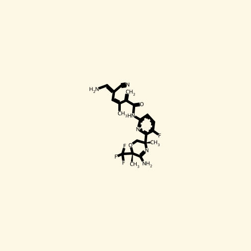 C=C(C(=O)Nc1ccc(F)c([C@@]2(C)CO[C@@](C)(C(F)(F)F)C(N)=N2)n1)/C(C)=C\C(C#N)=C/N